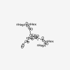 CCCCCCCC(=O)OC(CCCCCC)COC(=O)CCCCO[C@@H](C(=O)NCCC(=O)OCCN1CCOCC1)C(C)(C)COC(=O)CCCC(=O)OCC(CCCCCC)OC(=O)CCCCCCC